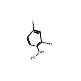 ONc1ccc(F)cc1Cl